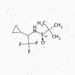 CC(C)(C)[S@@+]([O-])NC(C1CC1)C(F)(F)F